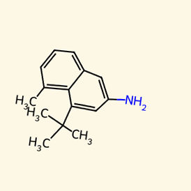 Cc1cccc2cc(N)cc(C(C)(C)C)c12